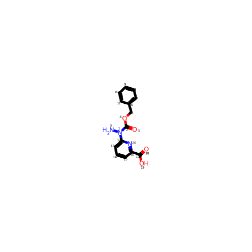 NN(C(=O)OCc1ccccc1)c1cccc(C(=O)O)n1